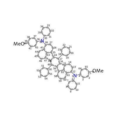 COc1ccc(N(c2ccccc2)c2ccc3c4c(-c5ccccc5)c5c6ccc(N(c7ccccc7)c7ccc(OC)cc7)c7cccc(c5c(-c5ccccc5)c4c4cccc2c43)c76)cc1